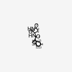 O=C1CCC(NC(=O)c2csc3ccccc23)C(=O)N1